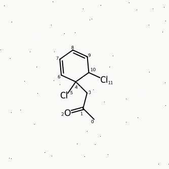 CC(=O)CC1(Cl)C=CC=CC1Cl